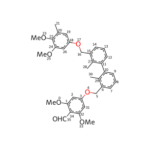 COc1cc(OCc2cccc(-c3cccc(COc4cc(C)c(OC)c(OC)c4)c3C)c2C)cc(OC)c1C=O